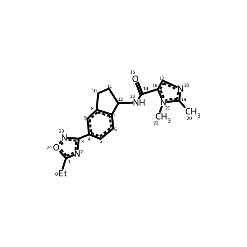 CCc1nc(-c2ccc3c(c2)CCC3NC(=O)c2cnc(C)n2C)no1